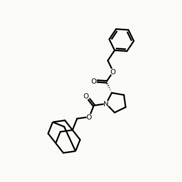 O=C(OCc1ccccc1)[C@@H]1CCCN1C(=O)OCC12CC3CC(CC(C3)C1)C2